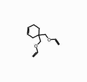 C=COCC1(COC=C)CC=CCC1